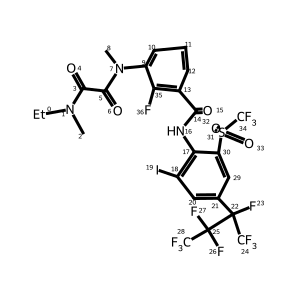 CCN(C)C(=O)C(=O)N(C)c1cccc(C(=O)Nc2c(I)cc(C(F)(C(F)(F)F)C(F)(F)C(F)(F)F)cc2S(=O)(=O)C(F)(F)F)c1F